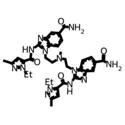 CCn1nc(C)cc1C(=O)Nc1nc2cc(C(N)=O)ccc2n1CCN(C)CCn1c(NC(=O)c2cc(C)nn2CC)nc2cc(C(N)=O)ccc21